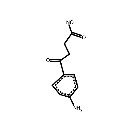 Nc1ccc(C(=O)CCC(=O)N=O)cc1